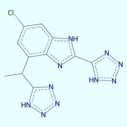 CC(c1nnn[nH]1)c1cc(Cl)cc2[nH]c(-c3nnn[nH]3)nc12